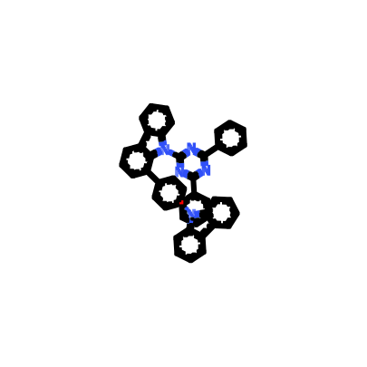 c1ccc(-c2nc(-c3ccccc3)nc(-n3c4ccccc4c4cccc(-c5ccc(-n6c7ccccc7c7ccccc76)cc5)c43)n2)cc1